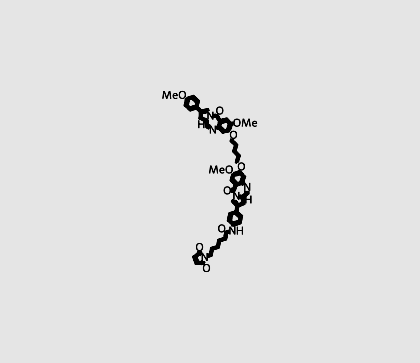 COc1ccc(C2=CN3C(=O)c4cc(OC)c(OCCCCCOc5cc6c(cc5OC)C(=O)N5C=C(c7ccc(NC(=O)CCCCCN8C(=O)C=CC8=O)cc7)C[C@H]5C=N6)cc4N=C[C@@H]3C2)cc1